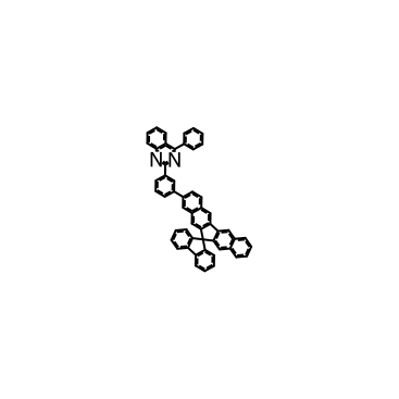 c1ccc(-c2nc(-c3cccc(-c4ccc5cc6c(cc5c4)C4(c5ccccc5-c5ccccc54)c4cc5ccccc5cc4-6)c3)nc3ccccc23)cc1